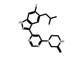 C=C1CN(c2cc(-c3n[nH]c4cc(F)c(CC(C)C)cc34)ncn2)CCN1